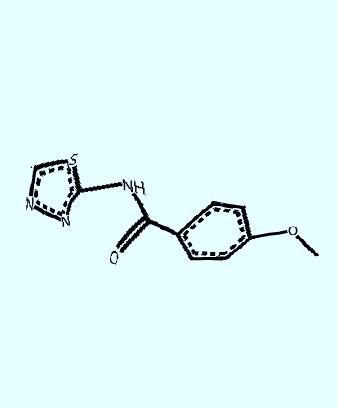 COc1ccc(C(=O)Nc2nn[c]s2)cc1